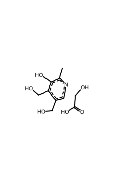 Cc1ncc(CO)c(CO)c1O.O=C(O)CO